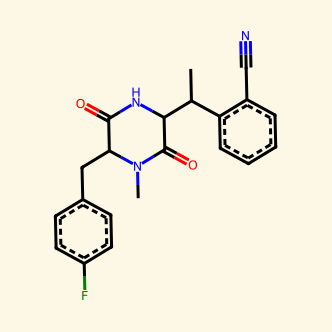 CC(c1ccccc1C#N)C1NC(=O)C(Cc2ccc(F)cc2)N(C)C1=O